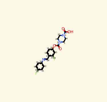 O=C(O)N1CCN(C(=O)Oc2ccc(/C=N/c3ccc(F)cc3)c(F)c2)CC1